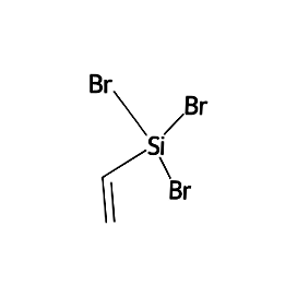 C=C[Si](Br)(Br)Br